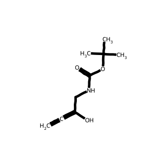 C=C=C(O)CNC(=O)OC(C)(C)C